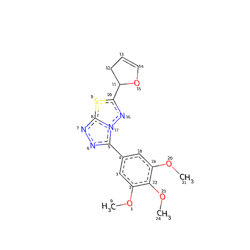 COc1cc(-c2nnc3sc(C4CC=CO4)nn23)cc(OC)c1OC